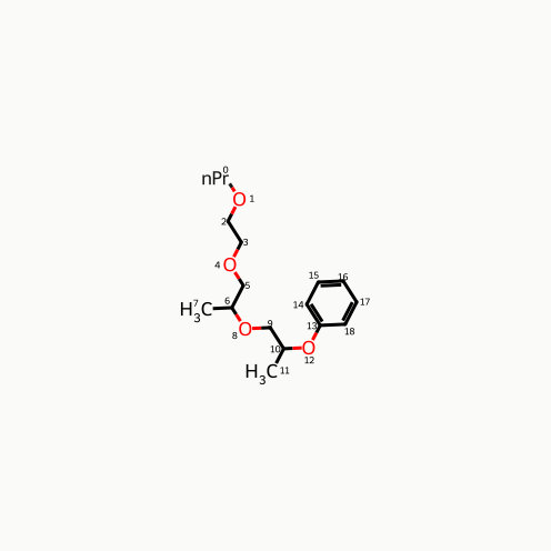 CCCOCCOCC(C)OCC(C)Oc1ccccc1